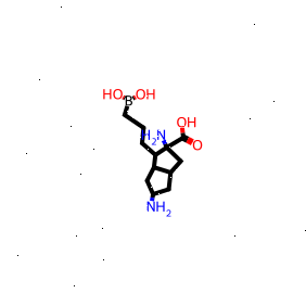 NC1CC2CC(N)(C(=O)O)C(CCCB(O)O)C2C1